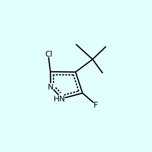 CC(C)(C)c1c(Cl)n[nH]c1F